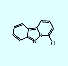 Clc1cccc2c3ccccc3nn12